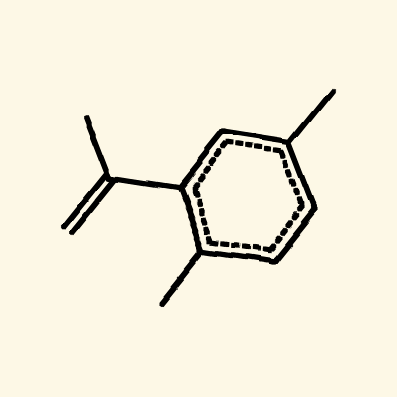 C=C(C)c1cc(C)ccc1C